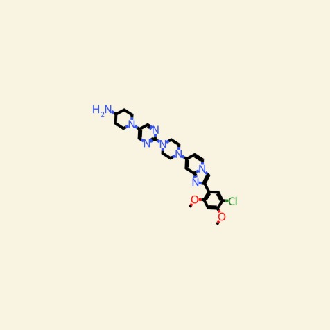 COc1cc(OC)c(-c2cn3ccc(N4CCN(c5ncc(N6CCC(N)CC6)cn5)CC4)cc3n2)cc1Cl